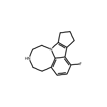 Fc1ccc2c3c1c1c(n3CCNCC2)CCC1